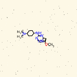 C/C=N\C(=N/C1C=C(OC)N1)NC1CCC(N(C)C)CC1